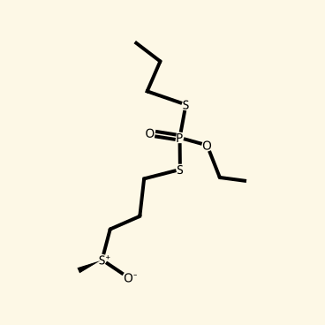 CCCSP(=O)(OCC)SCCC[S@+](C)[O-]